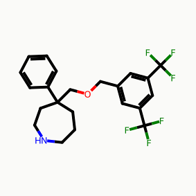 FC(F)(F)c1cc(COCC2(c3ccccc3)CCCNCC2)cc(C(F)(F)F)c1